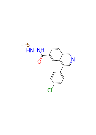 CSNNC(=O)c1ccc2cncc(-c3ccc(Cl)cc3)c2c1